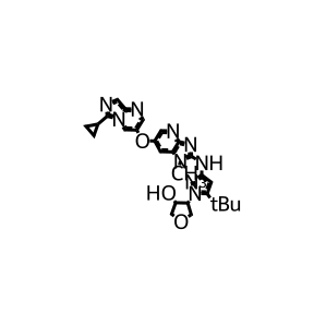 Cn1c(Nc2cc(C(C)(C)C)n(C3COCC3O)n2)nc2ncc(Oc3cnc4cnc(C5CC5)n4c3)cc21